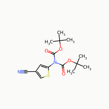 CC(C)(C)OC(=O)N(C(=O)OC(C)(C)C)c1cc(C#N)cs1